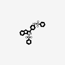 O=S(=O)(Nc1ccc(-c2nn(S(=O)(=O)c3ccccc3)c3c2Cc2ccccc2-3)cc1)c1ccccc1